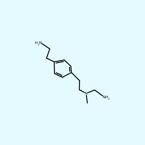 CN(CN)CCc1ccc(CCN)cc1